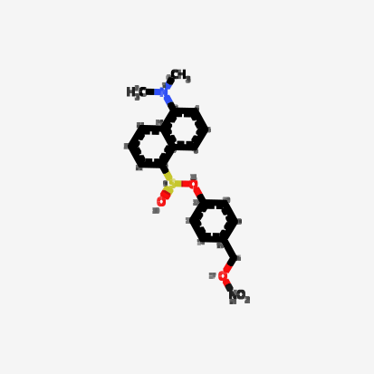 CN(C)c1cccc2c(S(=O)Oc3ccc(CO[N+](=O)[O-])cc3)cccc12